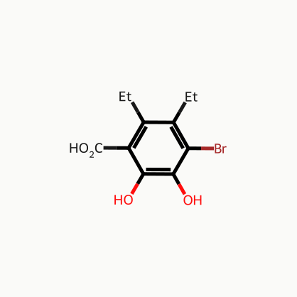 CCc1c(Br)c(O)c(O)c(C(=O)O)c1CC